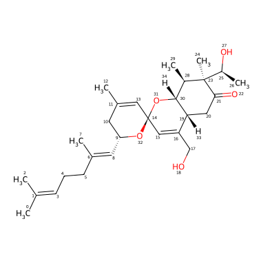 CC(C)=CCC/C(C)=C/[C@@H]1CC(C)=C[C@]2(C=C(CO)[C@H]3CC(=O)[C@](C)([C@H](C)O)[C@H](C)[C@H]3O2)O1